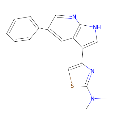 CN(C)c1nc(-c2c[nH]c3ncc(-c4ccccc4)cc23)cs1